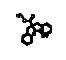 CCCOC(=O)C(Cc1ccccc1)(Cc1ccccc1)C(=O)OCCC